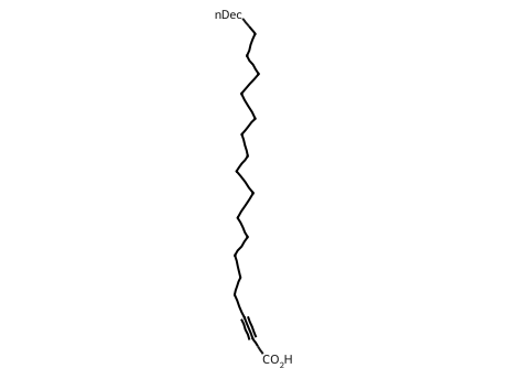 CCCCCCCCCCCCCCCCCCCCCCCCC#CC(=O)O